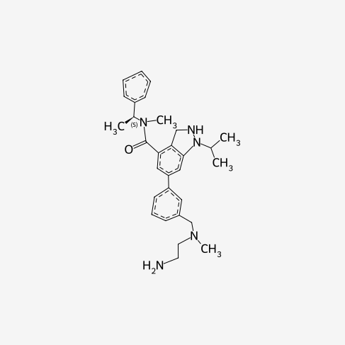 CC(C)N1NCc2c(C(=O)N(C)[C@@H](C)c3ccccc3)cc(-c3cccc(CN(C)CCN)c3)cc21